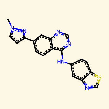 Cn1ccc(-c2ccc3c(Nc4ccc5scnc5c4)ncnc3c2)n1